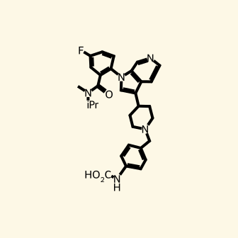 CC(C)N(C)C(=O)c1cc(F)ccc1-n1cc(C2CCN(Cc3ccc(NC(=O)O)cc3)CC2)c2ccncc21